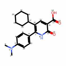 CN(C)c1ccc(-c2[nH]c(=O)c(C(=O)O)cc2C2CCCCC2)cc1